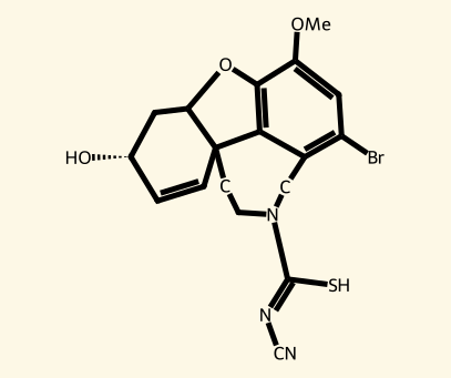 COc1cc(Br)c2c3c1OC1C[C@@H](O)C=CC31CCN(C(S)=NC#N)C2